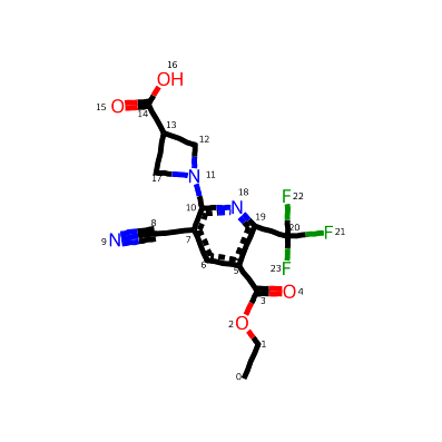 CCOC(=O)c1cc(C#N)c(N2CC(C(=O)O)C2)nc1C(F)(F)F